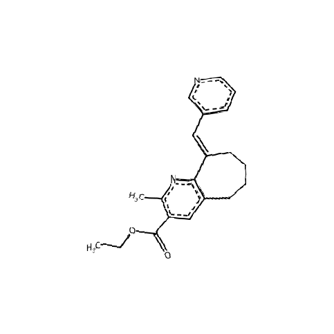 CCOC(=O)c1cc2c(nc1C)C(=Cc1cccnc1)CCCC2